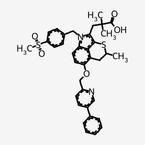 CC1Cc2c(OCc3ccc(-c4ccccc4)cn3)ccc3c2c(c(CC(C)(C)C(=O)O)n3Cc2ccc(S(C)(=O)=O)cc2)S1